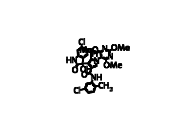 COc1nc(OC)c(-n2cc(C(=O)Nc3cc(Cl)ccc3C)c(C3(O)C(=O)Nc4cc(Cl)ccc43)c2C(C)C)c(OC)n1